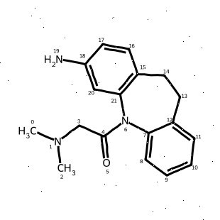 CN(C)CC(=O)N1c2ccccc2CCc2ccc(N)cc21